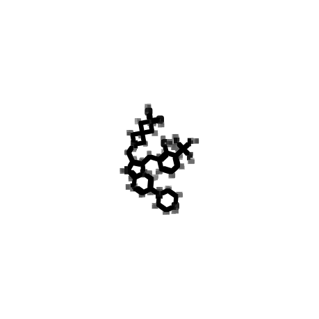 Cc1c(Cc2c(CN3CC4(C3)CS(=O)(=O)C4)nc3ncc(N4CCOCC4)cn23)cccc1C(F)(F)F